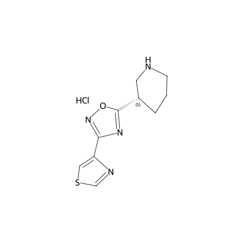 Cl.c1nc(-c2noc([C@H]3CCCNC3)n2)cs1